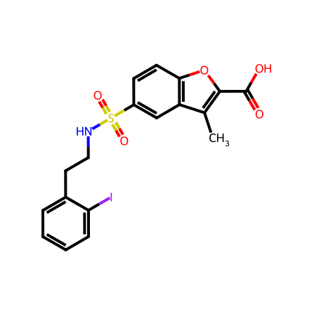 Cc1c(C(=O)O)oc2ccc(S(=O)(=O)NCCc3ccccc3I)cc12